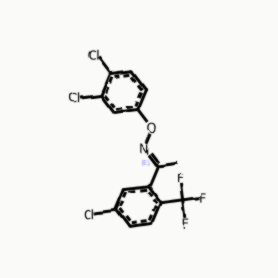 C/C(=N\Oc1ccc(Cl)c(Cl)c1)c1cc(Cl)ccc1C(F)(F)F